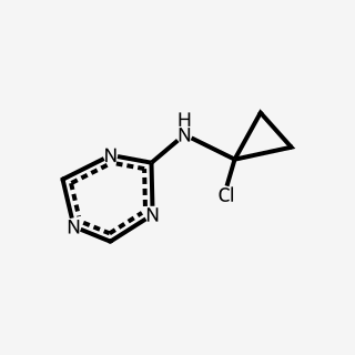 ClC1(Nc2ncncn2)CC1